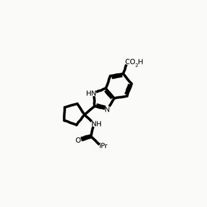 CC(C)C(=O)NC1(c2nc3ccc(C(=O)O)cc3[nH]2)CCCC1